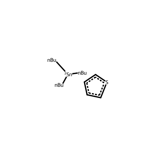 CCC[CH2][2Sn]([CH2]CCC)[CH2]CCC.c1ccsc1